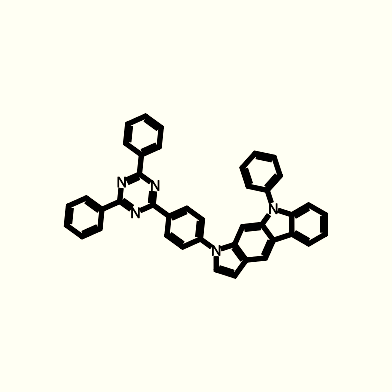 c1ccc(-c2nc(-c3ccccc3)nc(-c3ccc(-n4ccc5cc6c7ccccc7n(-c7ccccc7)c6cc54)cc3)n2)cc1